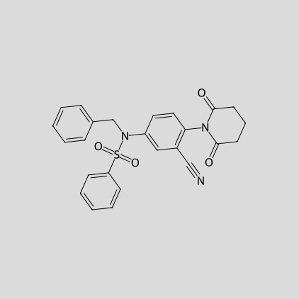 N#Cc1cc(N(Cc2ccccc2)S(=O)(=O)c2ccccc2)ccc1N1C(=O)CCCC1=O